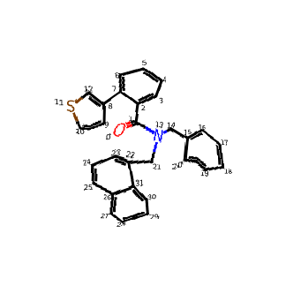 O=C(c1ccccc1-c1ccsc1)N(Cc1ccccc1)Cc1cccc2ccccc12